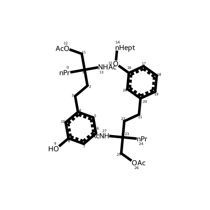 CCCC(CCc1cccc(O)c1)(COC(C)=O)NC(C)=O.CCCCCCCOc1cccc(CCC(CCC)(COC(C)=O)NC(C)=O)c1